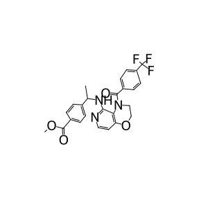 COC(=O)c1ccc(C(C)Nc2nccc3c2N(C(=O)c2ccc(C(F)(F)F)cc2)CCO3)cc1